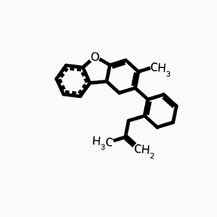 C=C(C)CC1=C(C2=C(C)C=C3Oc4ccccc4C3C2)C=CCC1